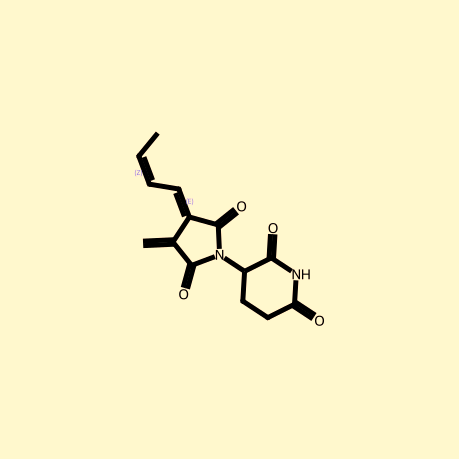 C=C1C(=O)N(C2CCC(=O)NC2=O)C(=O)/C1=C/C=C\C